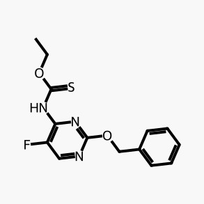 CCOC(=S)Nc1nc(OCc2ccccc2)ncc1F